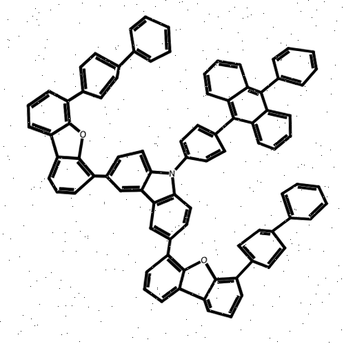 c1ccc(-c2ccc(-c3cccc4c3oc3c(-c5ccc6c(c5)c5cc(-c7cccc8c7oc7c(-c9ccc(-c%10ccccc%10)cc9)cccc78)ccc5n6-c5ccc(-c6c7ccccc7c(-c7ccccc7)c7ccccc67)cc5)cccc34)cc2)cc1